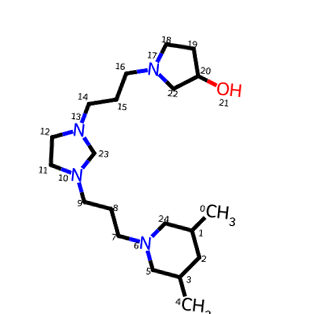 CC1CC(C)CN(CCCN2CCN(CCCN3CCC(O)C3)C2)C1